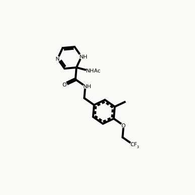 CC(=O)NC1(C(=O)NCc2ccc(OCC(F)(F)F)c(C)c2)C=NC=CN1